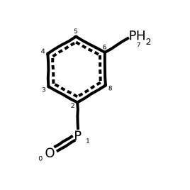 O=Pc1cccc(P)c1